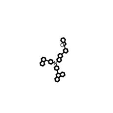 c1cc(-c2ccc3cc(N(c4ccc(-c5cccc6ccccc56)cc4)c4ccc(-c5cc6ccccc6c6ccccc56)cc4)ccc3c2)cc(-c2cc3ccccc3o2)c1